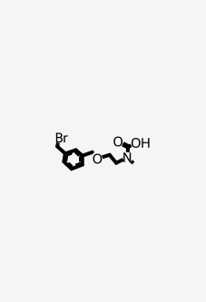 CN(CCOCc1cccc(CBr)c1)C(=O)O